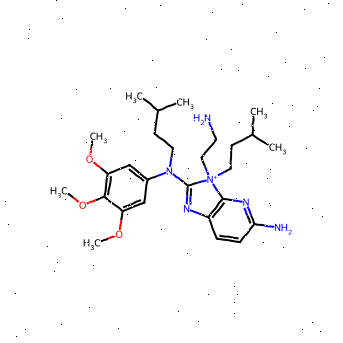 COc1cc(N(CCC(C)C)C2=Nc3ccc(N)nc3[N+]2(CCN)CCC(C)C)cc(OC)c1OC